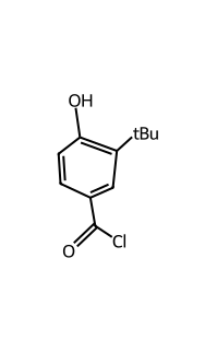 CC(C)(C)c1cc(C(=O)Cl)ccc1O